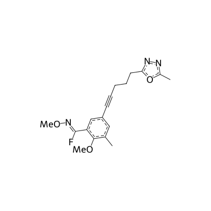 CON=C(F)c1cc(C#CCCCc2nnc(C)o2)cc(C)c1OC